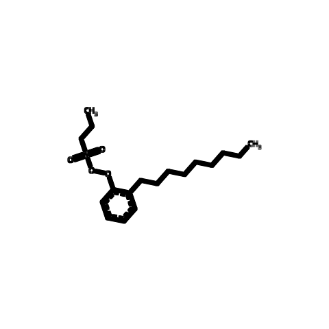 CCCCCCCCCc1ccccc1OOS(=O)(=O)CCC